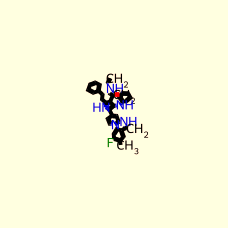 C=CNCC(=C)c1c(CCc2ccccc2)[nH]c(-c2ccnc(NC(=C)c3ccc(F)c(C)c3)c2)c1Nc1ccccc1